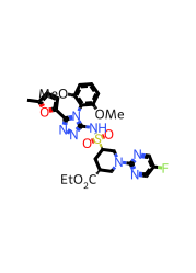 CCOC(=O)[C@H]1C[C@@H](S(=O)(=O)Nc2nnc(-c3ccc(C)o3)n2-c2c(OC)cccc2OC)CN(c2ncc(F)cn2)C1